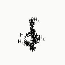 CCOc1cc(OCc2ccc(OC)cc2)ncc1-c1ncc(NC(=O)Nc2cc(-n3cnc(C)c3)cc(C(F)(F)F)c2)c(C)n1